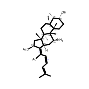 CC(=O)O[C@H]1C[C@@]2(C)[C@@H](C[C@H](N)[C@H]3[C@@]4(C)CC[C@@H](O)[C@@H](C)[C@@H]4CC[C@@]32C)/C1=C(\C=C/C=C(C)C)C(C)=O